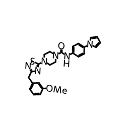 COc1cccc(Cc2nsc(N3CCN(C(=O)Nc4ccc(-n5cccc5)cc4)CC3)n2)c1